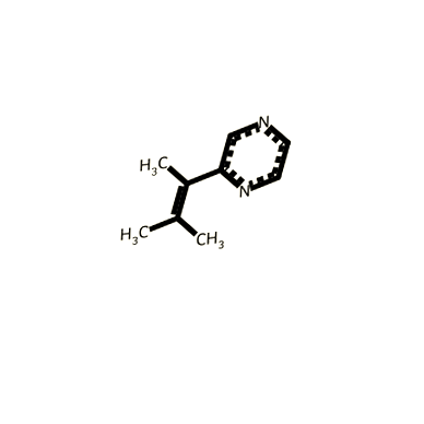 CC(C)=C(C)c1cnccn1